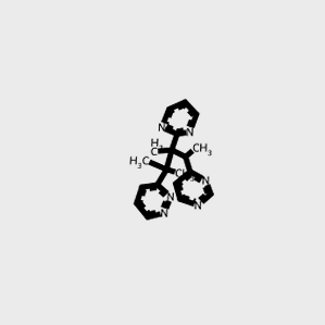 CC(c1ccncn1)C(C)(c1ncccn1)C(C)(C)c1cccnn1